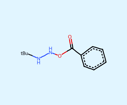 CC(C)(C)NNOC(=O)c1ccccc1